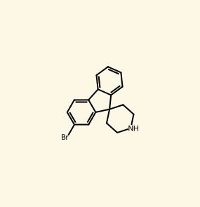 Brc1ccc2c(c1)C1(CCNCC1)c1ccccc1-2